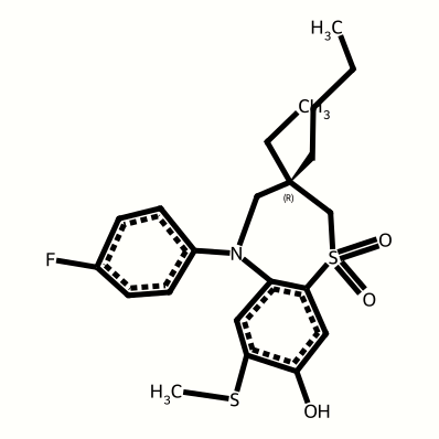 CCCC[C@]1(CC)CN(c2ccc(F)cc2)c2cc(SC)c(O)cc2S(=O)(=O)C1